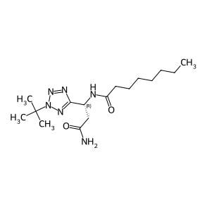 CCCCCCCC(=O)N[C@H](CC(N)=O)c1nnn(C(C)(C)C)n1